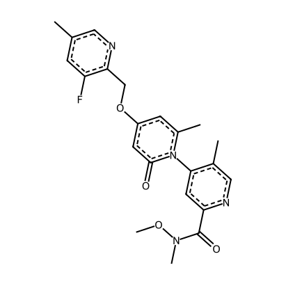 CON(C)C(=O)c1cc(-n2c(C)cc(OCc3ncc(C)cc3F)cc2=O)c(C)cn1